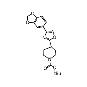 CC(C)(C)OC(=O)N1CCC(c2nc(-c3ccc4c(c3)OCO4)no2)CC1